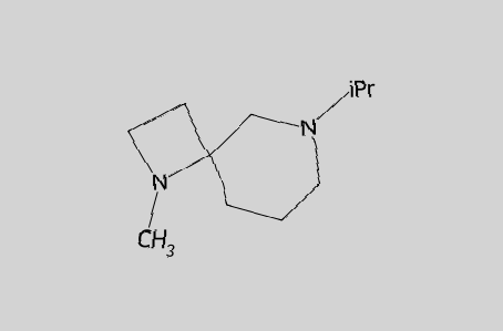 CC(C)N1CCCC2(CCN2C)C1